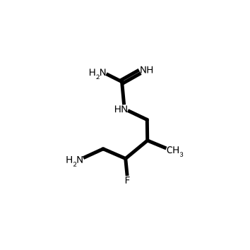 CC(CNC(=N)N)C(F)CN